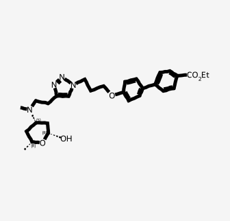 CCOC(=O)c1ccc(-c2ccc(OCCCn3cc(CCN(C)[C@H]4C[C@@H](C)O[C@@H](O)C4)nn3)cc2)cc1